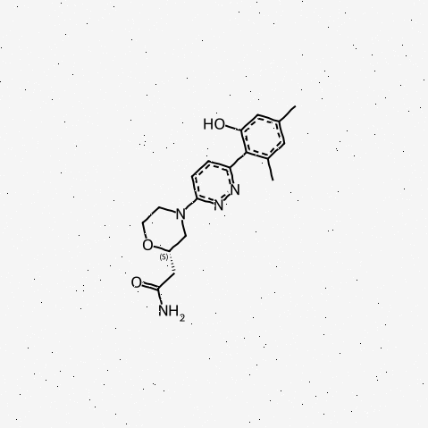 Cc1cc(C)c(-c2ccc(N3CCO[C@@H](CC(N)=O)C3)nn2)c(O)c1